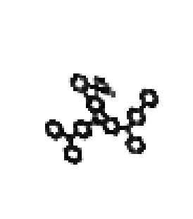 CC1(C)c2ccccc2-c2cc3c(cc21)c1cc(N(c2ccccc2)c2ccc(-c4ccccc4)cc2)ccc1n3-c1ccc(N(c2ccccc2)c2ccccc2)cc1